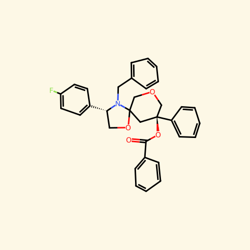 O=C(O[C@]1(c2ccccc2)COCC2(C1)OC[C@H](c1ccc(F)cc1)N2Cc1ccccc1)c1ccccc1